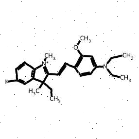 CCN(CC)c1ccc(/C=C/C2=[N+](C)c3ccc(I)cc3C2(C)CC)c(OC)c1